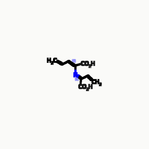 C=C/C=C(\N=C(/C=C)C(=O)O)C(=O)O